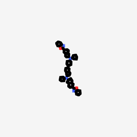 c1ccc(N(c2ccc(-c3ccc4cc(N(c5ccccc5)c5ccc6cc(-c7nc8ccccc8o7)ccc6c5)ccc4c3)cc2)c2ccc3cc(-c4nc5ccccc5o4)ccc3c2)cc1